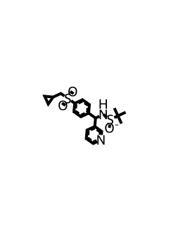 CC(C)(C)[S+]([O-])NC(c1ccc(S(=O)(=O)CC2CC2)cc1)c1cccnc1